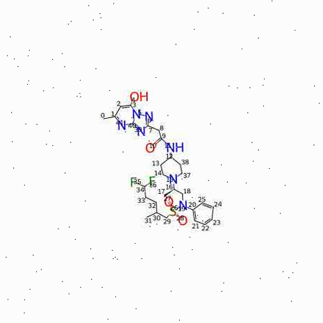 Cc1cc(O)n2nc(CC(=O)NC3CCN([C@H](C)CN(c4ccccc4)S(=O)(=O)CC(C)CCC(F)F)CC3)nc2n1